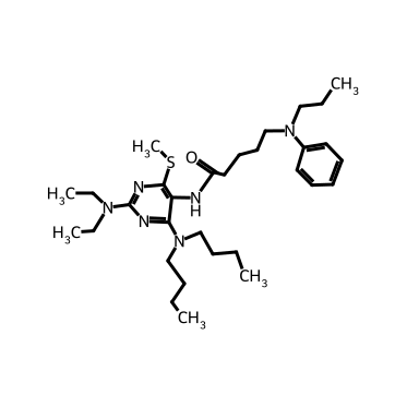 CCCCN(CCCC)c1nc(N(CC)CC)nc(SC)c1NC(=O)CCCCN(CCC)c1ccccc1